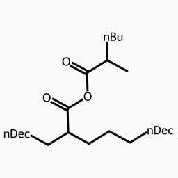 CCCCCCCCCCCCCC(CCCCCCCCCCC)C(=O)OC(=O)C(C)CCCC